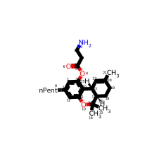 CCCCCc1cc(OC(=O)CCN)c2c(c1)OC(C)(C)[C@@H]1CCC(C)=C[C@@H]21